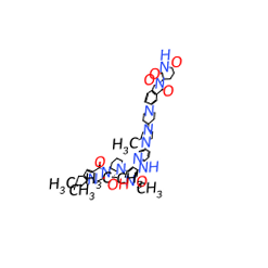 COc1ncc(N2CCC[C@@H](N3CCn4c(cc5c4CC(C)(C)C5)C3=O)[C@H]2C(C)(C)O)cc1Nc1ccc(N2CCN(C3CCN(c4ccc5c(c4)C(=O)N(C4CCC(=O)NC4=O)C5=O)CC3)C[C@@H]2C)cn1